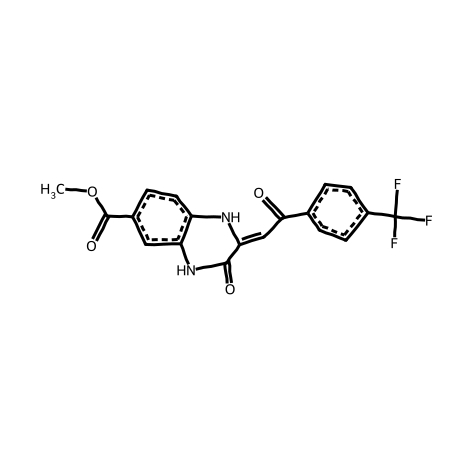 COC(=O)c1ccc2c(c1)NC(=O)/C(=C/C(=O)c1ccc(C(F)(F)F)cc1)N2